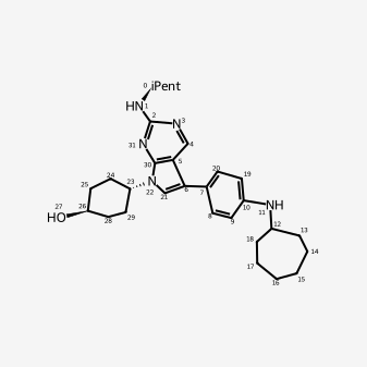 CCC[C@H](C)Nc1ncc2c(-c3ccc(NC4CCCCCC4)cc3)cn([C@H]3CC[C@H](O)CC3)c2n1